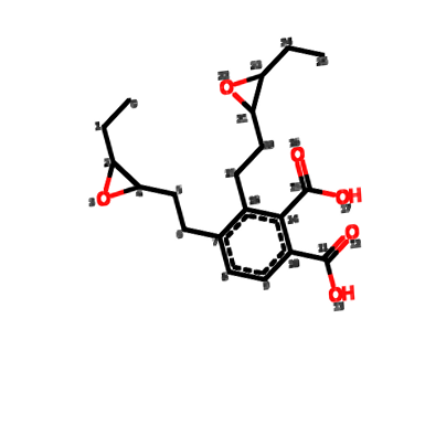 CCC1OC1CCc1ccc(C(=O)O)c(C(=O)O)c1CCC1OC1CC